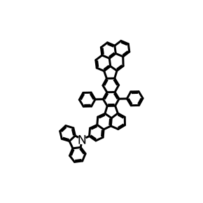 c1ccc(-c2c3cc4c(cc3c(-c3ccccc3)c3c5cc6cc(-n7c8ccccc8c8ccccc87)ccc6c6cccc(c23)c65)c2ccc3ccc5cccc6cc4c2c3c56)cc1